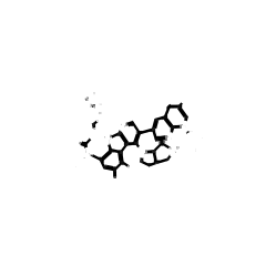 CN1CC2CCN(c3c(-c4cnc5c(c4)c(=O)c(C(=O)O)cn5C)cnc4[nH]c5c(N(C)C(=O)OCOP(O)OC(C)(C)C)cc(F)c(F)c5c34)C2C1